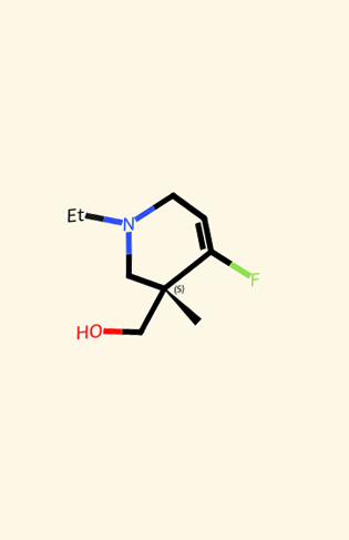 CCN1CC=C(F)[C@](C)(CO)C1